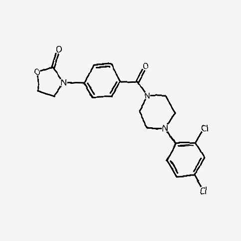 O=C(c1ccc(N2CCOC2=O)cc1)N1CCN(c2ccc(Cl)cc2Cl)CC1